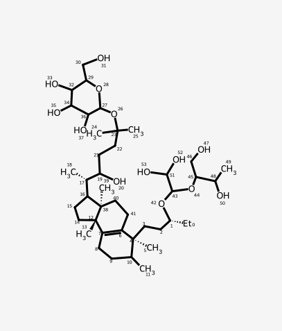 CC[C@H](CC[C@]1(C)C2=C(CCC1C)[C@]1(C)CCC([C@H](C)C(O)CCC(C)(C)OC3OC(CO)C(O)C(O)C3O)[C@@]1(C)CC2)OC(OC(CO)C(C)O)C(O)O